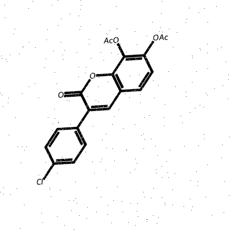 CC(=O)Oc1ccc2cc(-c3ccc(Cl)cc3)c(=O)oc2c1OC(C)=O